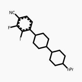 CCCC1CCC(C2CCC(c3ccc(C#N)c(F)c3I)CC2)CC1